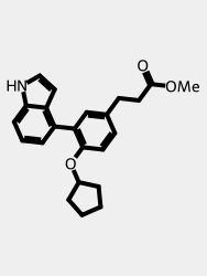 COC(=O)CCc1ccc(OC2CCCC2)c(-c2cccc3[nH]ccc23)c1